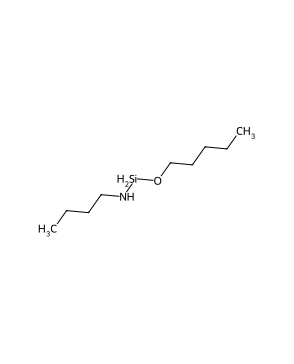 CCCCCO[SiH2]NCCCC